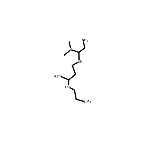 CNCCNC(CCNC(CN)N(C)C)NC